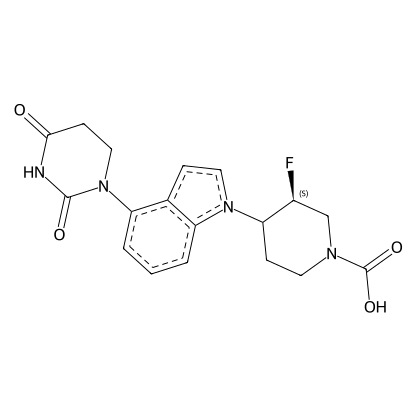 O=C1CCN(c2cccc3c2ccn3C2CCN(C(=O)O)C[C@@H]2F)C(=O)N1